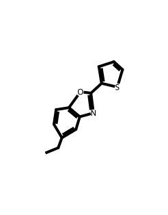 CCc1ccc2oc(-c3cccs3)nc2c1